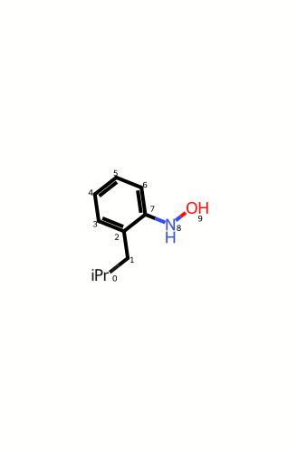 CC(C)Cc1ccccc1NO